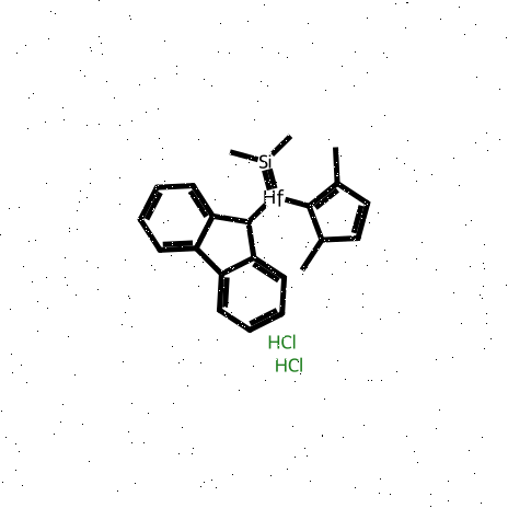 CC1=[C]([Hf]([CH]2c3ccccc3-c3ccccc32)=[Si](C)C)C(C)C=C1.Cl.Cl